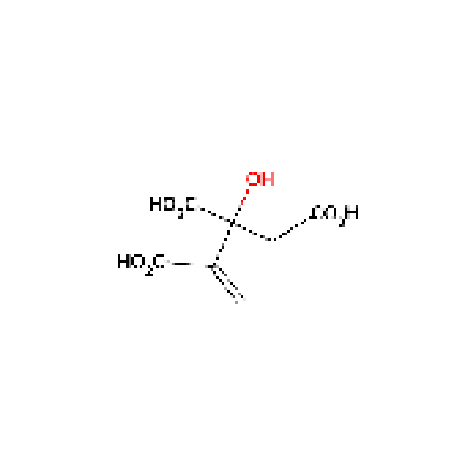 C=C(C(=O)O)C(O)(CC(=O)O)C(=O)O